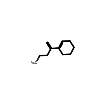 C=C(CCOC(C)=O)C1=CCCCC1